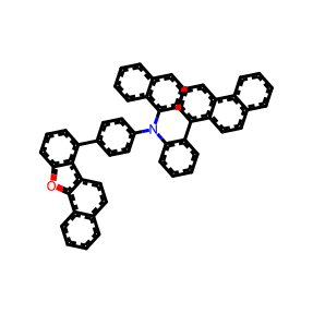 c1ccc(N(c2ccc(-c3cccc4oc5c6ccccc6ccc5c34)cc2)c2cccc3ccccc23)c(-c2cccc3c2ccc2ccccc23)c1